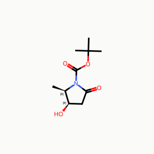 C[C@@H]1[C@H](O)CC(=O)N1C(=O)OC(C)(C)C